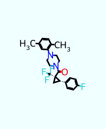 Cc1ccc(C)c(N2CCN(C(=O)[C@]3(C(F)(F)F)C[C@H]3c3ccc(F)cc3)CC2)c1